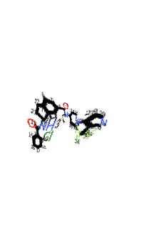 CN(C(=O)c1ccc2c(c1)[C@H](NC(=O)c1ccccc1Cl)CC2)C1CCN(c2ccncc2C(F)(F)F)CC1